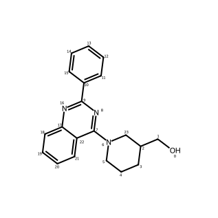 OCC1CCCN(c2nc(-c3ccccc3)nc3ccccc23)C1